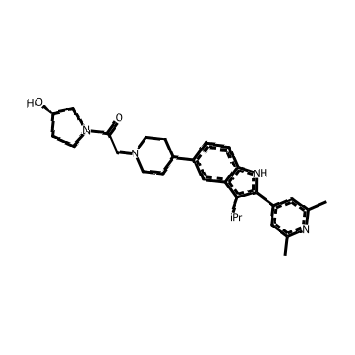 Cc1cc(-c2[nH]c3ccc(C4CCN(CC(=O)N5CC[C@@H](O)C5)CC4)cc3c2C(C)C)cc(C)n1